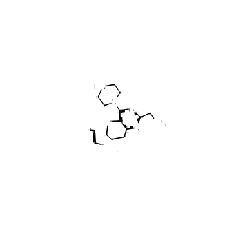 N#CCc1nc2c(c(N3CCNCC3)n1)SCCC2.O=C(O)C=CC(=O)O